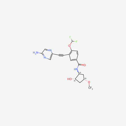 Nc1cnc(C#Cc2cc(C(=O)N[C@H]3C[C@H](OC(F)(F)F)C[C@@H]3O)ccc2OC(F)F)cn1